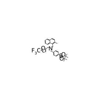 Cc1ccc2ccccc2c1CN(Cc1ccc(B2OC(C)(C)C(C)(C)O2)cc1)Cc1ccc(C(F)(F)F)o1